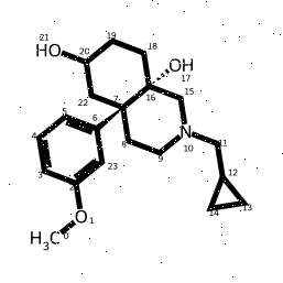 COc1cccc([C@]23CCN(CC4CC4)C[C@]2(O)CCC(O)C3)c1